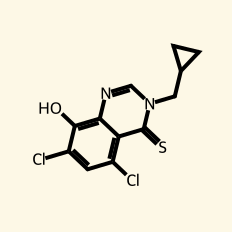 Oc1c(Cl)cc(Cl)c2c(=S)n(CC3CC3)cnc12